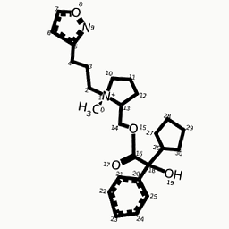 C[N@+]1(CCCc2ccon2)CCCC1COC(=O)C(O)(c1ccccc1)C1CCCC1